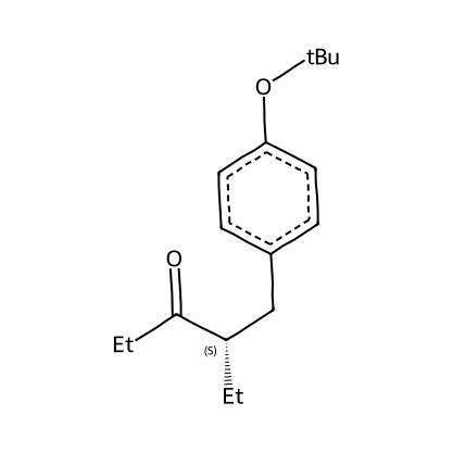 CCC(=O)[C@@H](CC)Cc1ccc(OC(C)(C)C)cc1